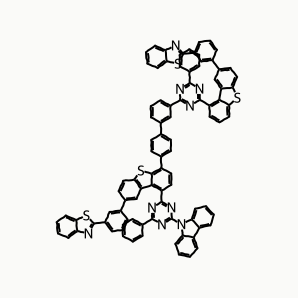 c1ccc(-c2nc(-c3cccc(-c4ccc(-c5ccc(-c6nc(-c7ccccc7)nc(-n7c8ccccc8c8ccccc87)n6)c6c5sc5ccc(-c7cccc(-c8nc9ccccc9s8)c7)cc56)cc4)c3)nc(-c3cccc4sc5ccc(-c6cccc(-c7nc8ccccc8s7)c6)cc5c34)n2)cc1